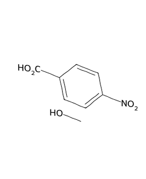 CO.O=C(O)c1ccc([N+](=O)[O-])cc1